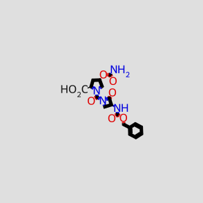 NC(=O)O[C@@H]1C[C@@H](C(=O)O)N(C(=O)N2C[C@H](NC(=O)OCc3ccccc3)C2=O)C1